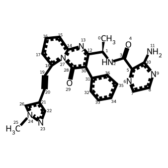 C[C@@H](NC(=O)c1nccnc1N)c1nc2cccc(C#Cc3cnn(C)c3)n2c(=O)c1-c1ccccc1